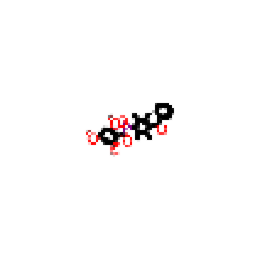 COc1cc(OC)c(C(=O)[PH](=O)c2c(C)c(C)c(C(=O)c3ccccc3)c(C)c2C)c(OC)c1